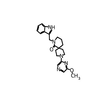 COc1cncc(N2CCC3(CCCN(Cc4c[nH]c5ccccc45)C3=O)CC2)n1